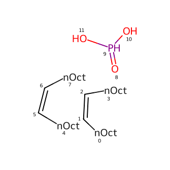 CCCCCCCC/C=C\CCCCCCCC.CCCCCCCC/C=C\CCCCCCCC.O=[PH](O)O